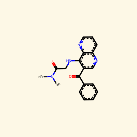 CCCN(CCC)C(=O)CNc1c(C(=O)c2ccccc2)cnc2cccnc12